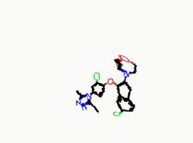 Cc1nnc(C)n1-c1ccc(O[C@@H]2c3cc(Cl)ccc3C[C@@H]2N2CCOCC2)c(Cl)c1